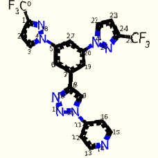 FC(F)(F)c1ccn(-c2cc(-c3cn(-c4ccncc4)nn3)cc(-n3ccc(C(F)(F)F)n3)c2)n1